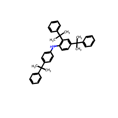 CC(C)(c1ccccc1)c1ccc(Nc2ccc(C(C)(C)c3ccccc3)cc2C(C)(C)c2ccccc2)cc1